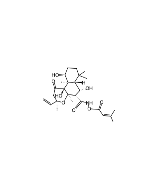 C=C[C@@]1(C)CC(=O)[C@]2(O)[C@@]3(C)[C@@H](O)CCC(C)(C)[C@@H]3[C@H](O)[C@H](C(=O)NOC(=O)C=C(C)C)[C@@]2(C)O1